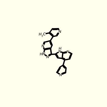 Cc1ccncc1-c1cnc2[nH]nc(-c3cc4c(-c5ccncc5)ccnc4[nH]3)c2c1